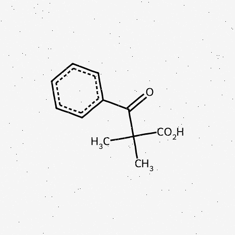 CC(C)(C(=O)O)C(=O)c1ccccc1